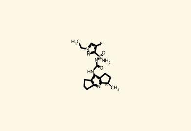 CCn1cc(F)c([S@](N)(=O)=NC(=O)Nc2c3c(nc4c2CC[C@H]4C)CCC3)n1